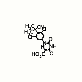 CC(C)(C#N)c1c(Cl)cc(-n2nc(C(=O)O)c(=O)[nH]c2=O)cc1Cl